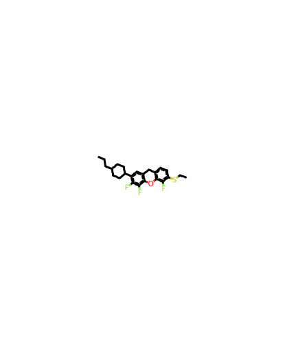 CCCC1CCC(c2cc3c(c(F)c2F)Oc2c(ccc(SCC)c2F)C3)CC1